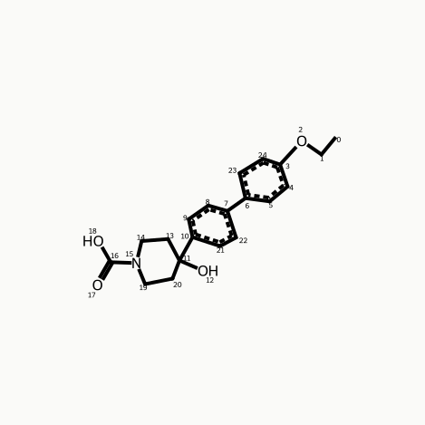 CCOc1ccc(-c2ccc(C3(O)CCN(C(=O)O)CC3)cc2)cc1